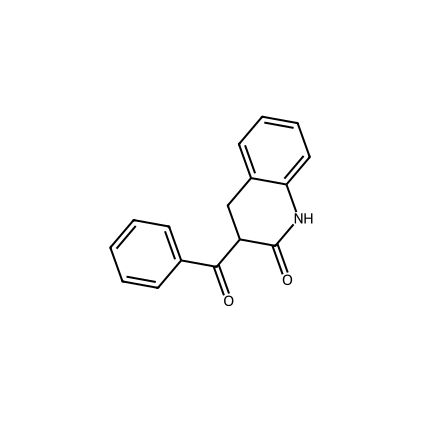 O=C1Nc2ccccc2CC1C(=O)c1ccccc1